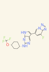 Fc1cc(-c2c[nH]c3nc(N[C@H]4CC[C@@H](OC(F)(F)F)CC4)ncc23)cn2ncnc12